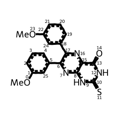 COc1cccc(-c2nc3[nH]c(=S)[nH]c(=O)c3nc2-c2cccc(OC)c2)c1